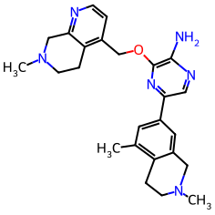 Cc1cc(-c2cnc(N)c(OCc3ccnc4c3CCN(C)C4)n2)cc2c1CCN(C)C2